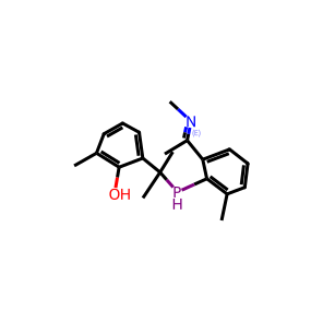 C/N=C(\C)c1cccc(C)c1PC(C)(C)c1cccc(C)c1O